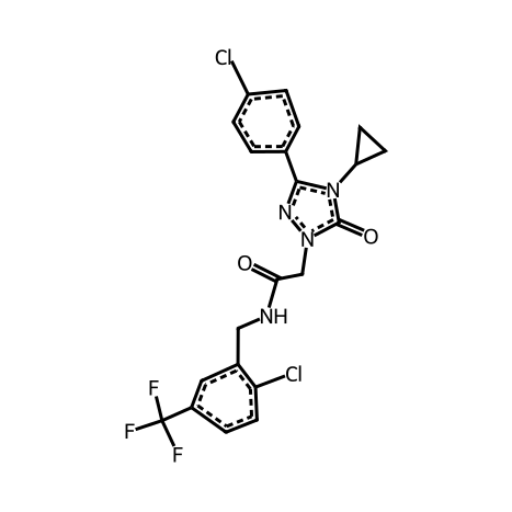 O=C(Cn1nc(-c2ccc(Cl)cc2)n(C2CC2)c1=O)NCc1cc(C(F)(F)F)ccc1Cl